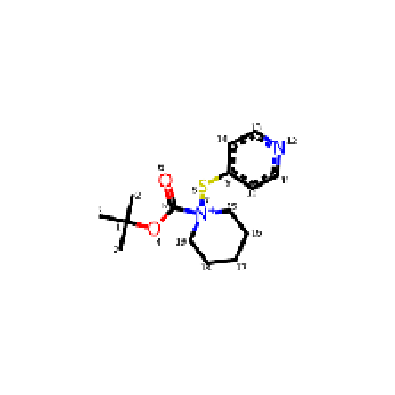 CC(C)(C)OC(=O)[N+]1(Sc2ccncc2)CCCCC1